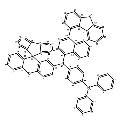 c1ccc(N(c2ccccc2)c2ccc(N(c3ccc4c(c3)C3(c5ccccc5S4)c4ccccc4-c4ccccc43)c3ccc(-c4cccc5sc6ccccc6c45)c4ccccc34)cc2)cc1